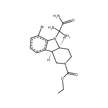 BC(B)(C(N)=O)N1c2c(Br)cccc2[C@@H]2CN(C(=O)OCC)CC[C@@H]21